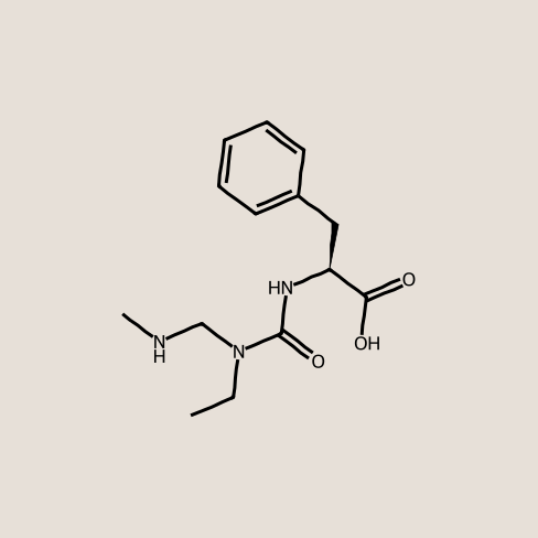 CCN(CNC)C(=O)N[C@@H](Cc1ccccc1)C(=O)O